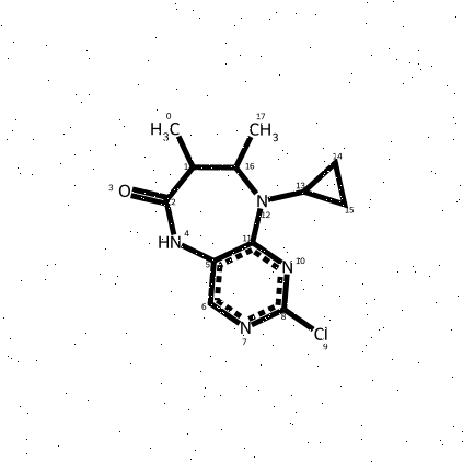 CC1C(=O)Nc2cnc(Cl)nc2N(C2CC2)C1C